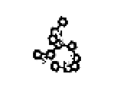 c1ccc(-c2ccc3ccc4ccc(-c5cccc(-c6cc(-c7ccc8sc9ccccc9c8c7)c7ccc8ccc(-c9ccccc9)nc8c7n6)c5)nc4c3n2)cc1